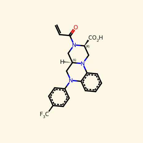 C=CC(=O)N1C[C@@H]2CN(c3ccc(C(F)(F)F)cc3)c3ccccc3N2C[C@@H]1C(=O)O